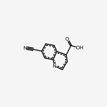 N#Cc1ccc2c(C(=O)O)ccnc2c1